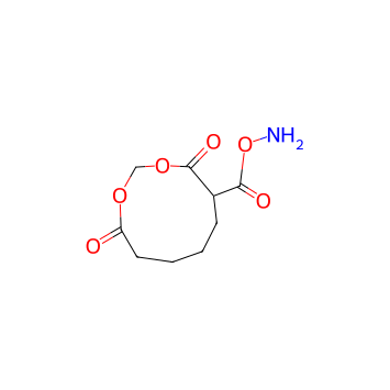 NOC(=O)C1CCCCC(=O)OCOC1=O